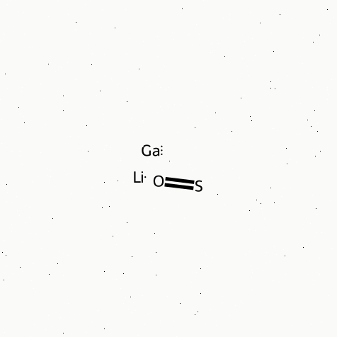 O=S.[Ga].[Li]